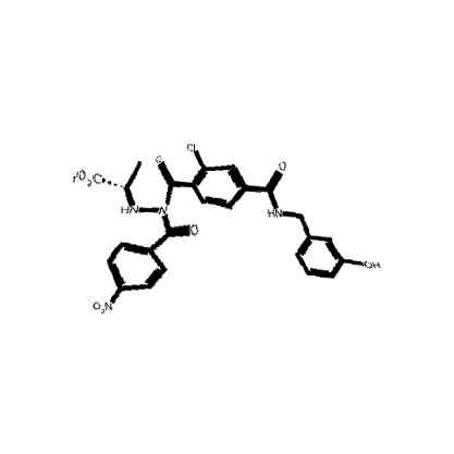 C[C@H](NN(C(=O)c1ccc([N+](=O)[O-])cc1)C(=O)c1ccc(C(=O)NCc2cccc(O)c2)cc1Cl)C(=O)O